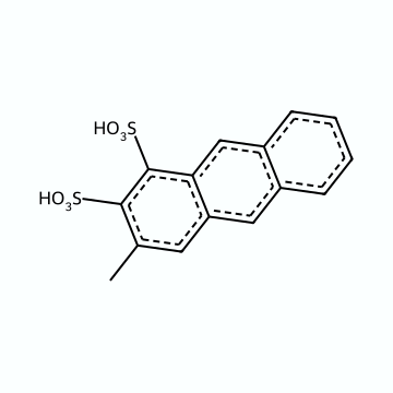 Cc1cc2cc3ccccc3cc2c(S(=O)(=O)O)c1S(=O)(=O)O